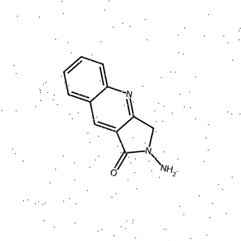 NN1Cc2nc3ccccc3cc2C1=O